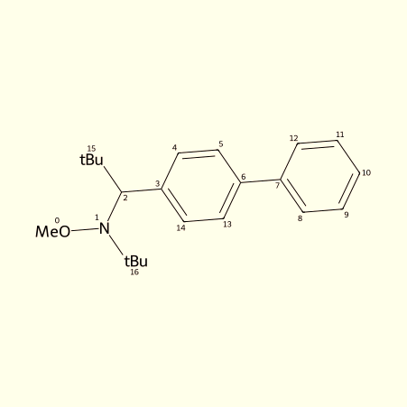 CON(C(c1ccc(-c2ccccc2)cc1)C(C)(C)C)C(C)(C)C